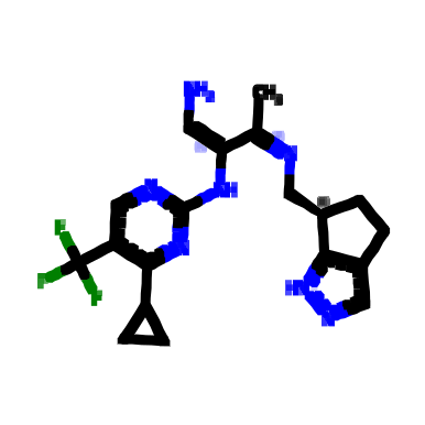 CC(=N/C[C@H]1CCc2cn[nH]c21)/C(=C\N)Nc1ncc(C(F)(F)F)c(C2CC2)n1